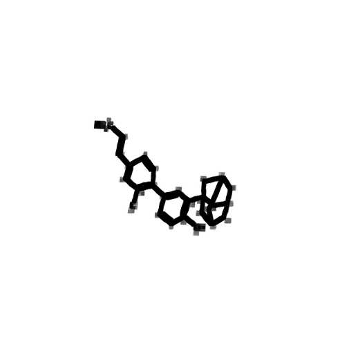 O=C(O)C=Cc1ccc(-c2ccc(O)c(C34CC5CC(CC(C5)C3)C4)c2)c(Cl)c1